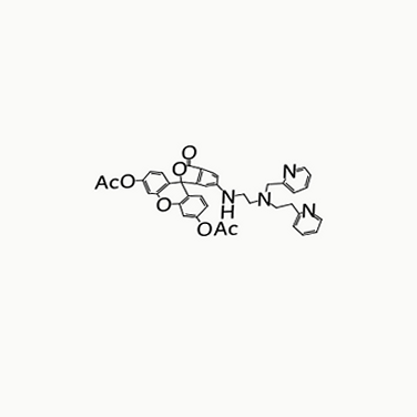 CC(=O)Oc1ccc2c(c1)Oc1cc(OC(C)=O)ccc1C21OC(=O)c2ccc(NCCN(CCc3ccccn3)Cc3ccccn3)cc21